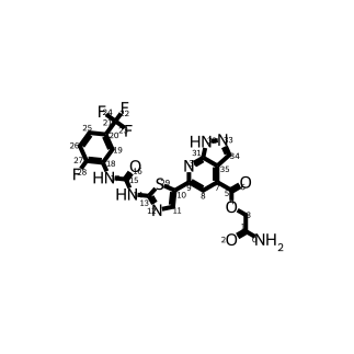 NC(=O)COC(=O)c1cc(-c2cnc(NC(=O)Nc3cc(C(F)(F)F)ccc3F)s2)nc2[nH]ncc12